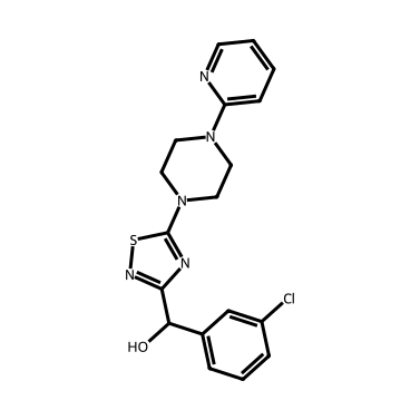 OC(c1cccc(Cl)c1)c1nsc(N2CCN(c3ccccn3)CC2)n1